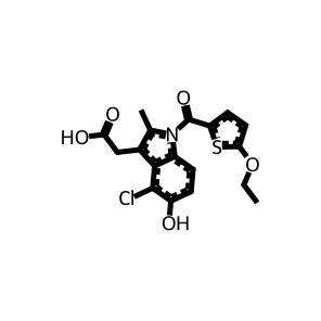 CCOc1ccc(C(=O)n2c(C)c(CC(=O)O)c3c(Cl)c(O)ccc32)s1